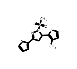 Cc1ccsc1C1CC(c2cccs2)=NN1S(C)(=O)=O